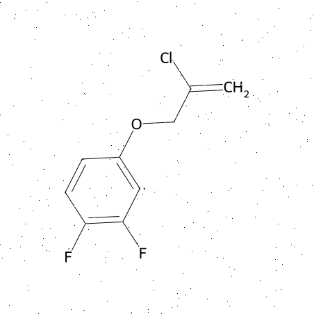 C=C(Cl)COc1[c]c(F)c(F)cc1